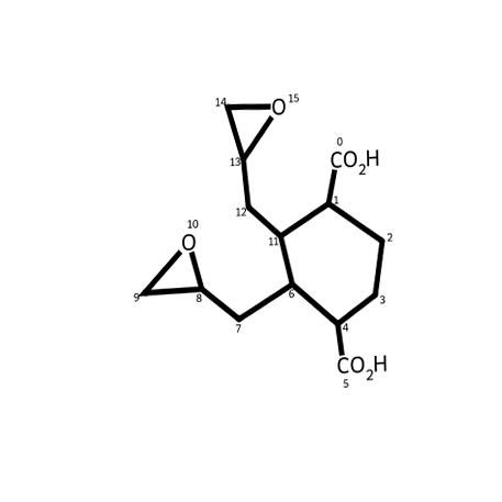 O=C(O)C1CCC(C(=O)O)C(CC2CO2)C1CC1CO1